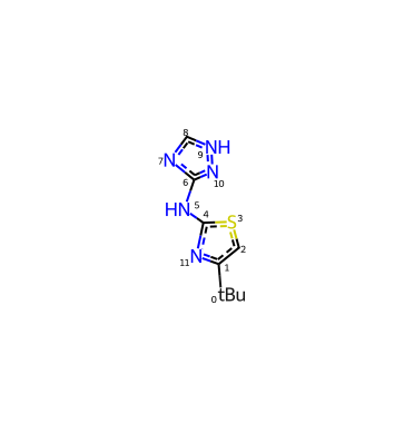 CC(C)(C)c1csc(Nc2nc[nH]n2)n1